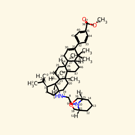 C=C(C)[C@@H]1CC[C@]2(NCCN3[C@@H]4CCC[C@H]3COC4)CC[C@]3(C)[C@H](CC[C@@H]4[C@@]5(C)CC=C(c6ccc(C(=O)OC)cc6)C(C)(C)[C@@H]5CC[C@]43C)[C@@H]12